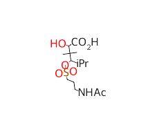 CC(=O)NCCCS(=O)(=O)OC(C(C)C)C(C)(C)[C@@H](O)C(=O)O